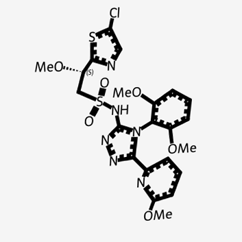 COc1cccc(-c2nnc(NS(=O)(=O)C[C@H](OC)c3ncc(Cl)s3)n2-c2c(OC)cccc2OC)n1